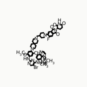 COc1cc(N2CCC3(CCN(CC4CCN(c5cc6c(cc5F)C(=O)N(C5CCC(=O)NC5=O)C6=O)CC4)CC3)CC2)c(C)cc1Nc1ncc(Br)c(Nc2ccc3nccnc3c2N(C)S(C)(=O)=O)n1